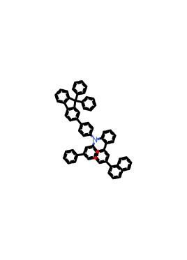 c1ccc(-c2cccc(N(c3ccc(-c4ccc5c(c4)C(c4ccccc4)(c4ccccc4)c4ccccc4-5)cc3)c3ccccc3-c3cccc(-c4cccc5ccccc45)c3)c2)cc1